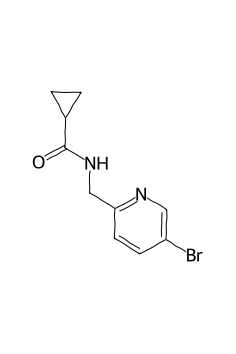 O=C(NCc1ccc(Br)cn1)C1CC1